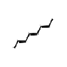 CC=CC=CC=CC